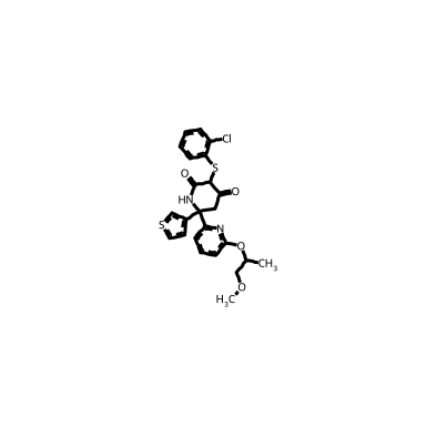 COCC(C)Oc1cccc(C2(c3ccsc3)CC(=O)C(Sc3ccccc3Cl)C(=O)N2)n1